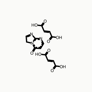 O=C(O)C=CC(=O)O.O=C(O)C=CC(=O)O.O=c1ccnc2n1CC=N2